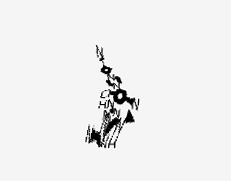 N#Cc1cc(Nc2nc(NC3CC3)c3ncc(C#N)n3n2)c(Cl)c(N2CCN([C@H]3C[C@@H](C#N)C3)CC2)c1